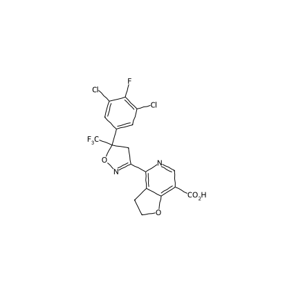 O=C(O)c1cnc(C2=NOC(c3cc(Cl)c(F)c(Cl)c3)(C(F)(F)F)C2)c2c1OCC2